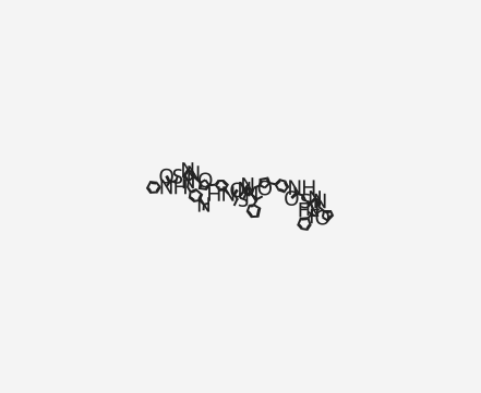 CC(Sc1nnc(-c2ccc(-c3ccc(NC(=O)CSc4nnc(-c5ccco5)n4C(F)(F)c4ccccc4)cc3)o2)n1C(C)c1ccccc1)C(=O)Nc1cccc(-c2ccc(-c3nnc(SCC(=O)Nc4ccccc4)n3Cc3ccc(N(C)C)cc3)o2)c1